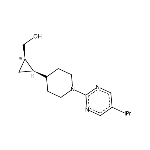 CC(C)c1cnc(N2CCC([C@H]3C[C@H]3CO)CC2)nc1